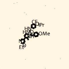 CCOc1cncc(C2=C(C)NC(NC(=O)Nc3ccc(OC(C)C)c(C(F)(F)F)c3)(OCc3ccc(OC)cc3)C=C2)c1